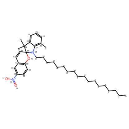 CCCCCCCCCCCCCCCCCCN1c2c(C)cccc2C(C)(C)C12C=Cc1cc([N+](=O)[O-])ccc1O2